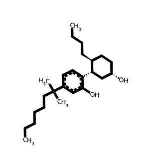 CCCCCCC(C)(C)c1ccc([C@H]2C[C@@H](O)CC[C@@H]2CCCC)c(O)c1